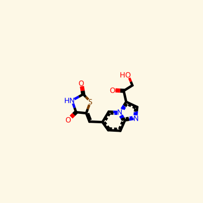 O=C1NC(=O)C(=Cc2ccc3ncc(C(=O)CO)n3c2)S1